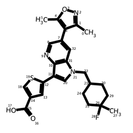 Cc1noc(C)c1-c1cnc2c(-c3cc(C(=O)O)cs3)cn(CC3CCC(C)(F)CC3)c2c1